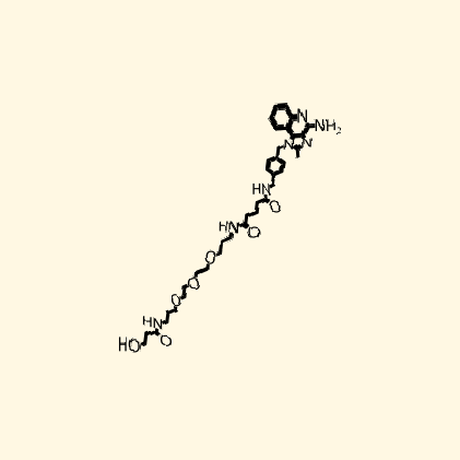 Cc1nc2c(N)nc3ccccc3c2n1Cc1ccc(CNC(=O)CCCC(=O)NCCCOCCOCCOCCCNC(=O)CCO)cc1